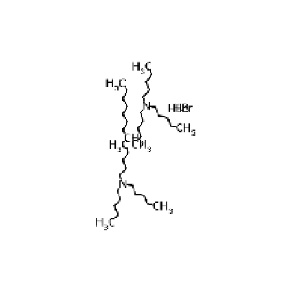 Br.Br.CCCCCCCC.CCCCCN(CCCCC)CCCCC.CCCCCN(CCCCC)CCCCC